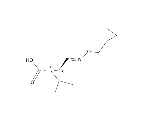 CC1(C)[C@H](C=NOCC2CC2)[C@H]1C(=O)O